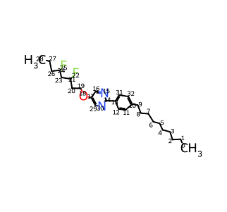 CCCCCCCCCCc1ccc(-c2ncc(OCCC(F)CC(F)CCC)cn2)cc1